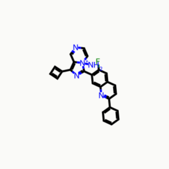 N[N+]12C=CN=CC1=C(C1=CC=C1)N=C2c1cc2nc(-c3ccccc3)ccc2cc1F